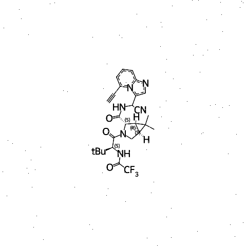 C#Cc1cccc2ncc(C(C#N)NC(=O)[C@@H]3[C@@H]4[C@H](CN3C(=O)[C@@H](NC(=O)C(F)(F)F)C(C)(C)C)C4(C)C)n12